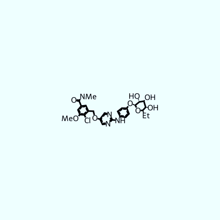 CC[C@H]1O[C@@H](Oc2ccc(Nc3ncc(OCc4cc(C(=O)NC)cc(OC)c4Cl)cn3)cc2)[C@H](O)[C@@H](O)[C@@H]1O